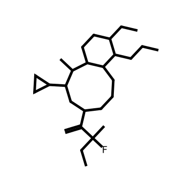 C=C(C1CCCC2C(CCC)C(CC)CCC2C(C)C(C2CC2)C1)C(C)(F)CC